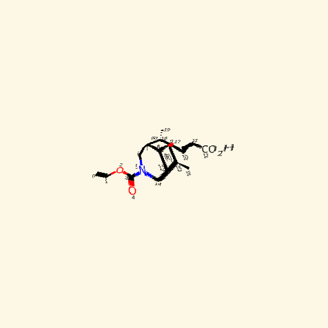 C=COC(=O)N1CC2C(CC=CC(=O)O)C(C1)[C@H](C)C[C@H]2C